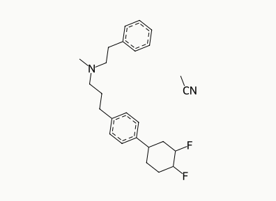 CC#N.CN(CCCc1ccc(C2CCC(F)C(F)C2)cc1)CCc1ccccc1